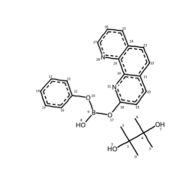 CC(C)(O)C(C)(C)O.OB(Oc1ccccc1)Oc1ccc2ccc3cccnc3c2n1